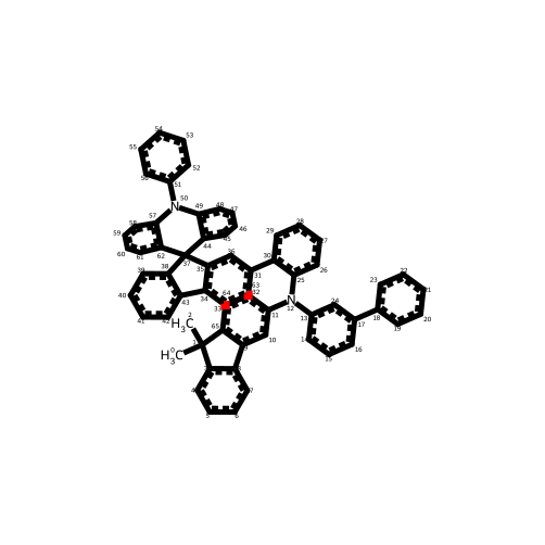 CC1(C)c2ccccc2-c2cc(N(c3cccc(-c4ccccc4)c3)c3ccccc3-c3ccc4c(c3)C3(c5ccccc5-4)c4ccccc4N(c4ccccc4)c4ccccc43)ccc21